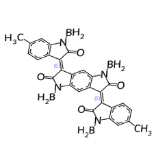 BN1C(=O)/C(=C2/C(=O)N(B)c3cc4c(cc32)N(B)C(=O)/C4=C2/C(=O)N(B)c3cc(C)ccc32)c2ccc(C)cc21